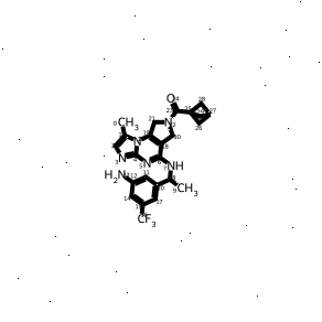 Cc1cnc2nc(NC(C)c3cc(N)cc(C(F)(F)F)c3)c3c(n12)CN(C(=O)C12CC(C1)C2)C3